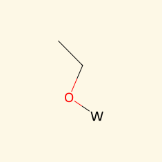 CC[O][W]